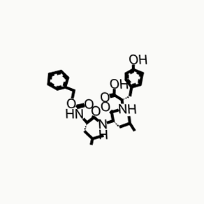 CC(C)C[C@H](NC(=O)OCc1ccccc1)C(=O)N[C@@H](CC(C)C)C(=O)N[C@@H](Cc1ccc(O)cc1)C(=O)O